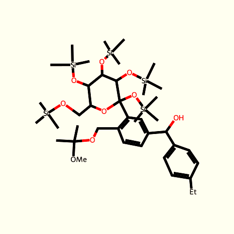 CCc1ccc(C(O)c2ccc(COC(C)(C)OC)c(C3(O[Si](C)(C)C)OC(CO[Si](C)(C)C)C(O[Si](C)(C)C)C(O[Si](C)(C)C)C3O[Si](C)(C)C)c2)cc1